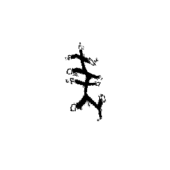 FC(Cl)C(Cl)C(F)(Cl)C(F)(Cl)C(F)(F)Cl